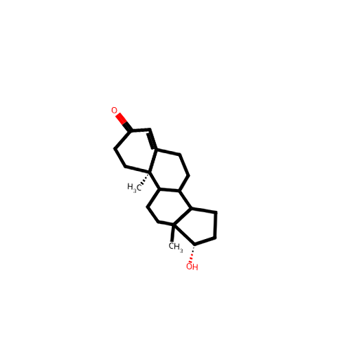 CC12CCC3C(CCC4=CC(=O)CC[C@@]43C)C1CC[C@@H]2O